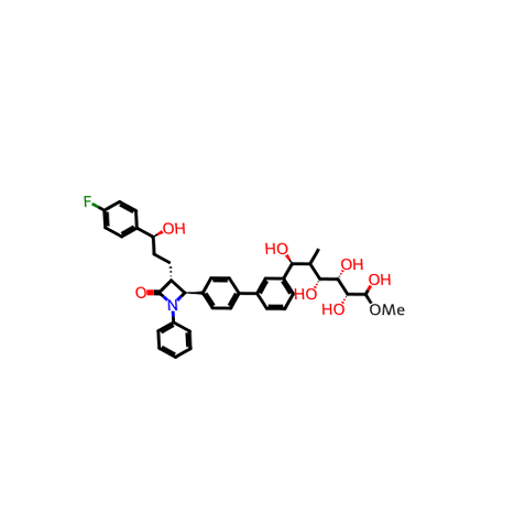 COC(O)[C@H](O)[C@@H](O)[C@H](O)C(C)[C@H](O)c1cccc(-c2ccc([C@@H]3[C@@H](CC[C@H](O)c4ccc(F)cc4)C(=O)N3c3ccccc3)cc2)c1